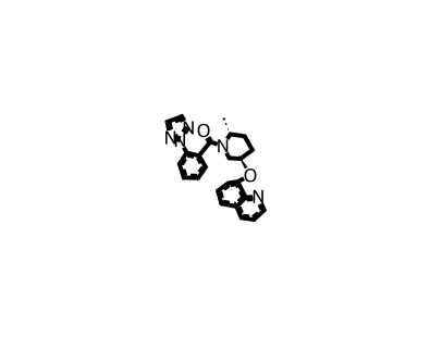 C[C@@H]1CC[C@@H](Oc2cccc3cccnc23)CN1C(=O)c1ccccc1-n1nccn1